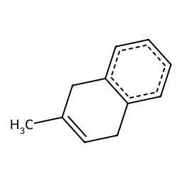 CC1=CCc2ccccc2C1